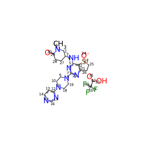 CN1C[C@@H](Nc2nc(N3CCN(c4ccncn4)CC3)nc3c2[S+]([O-])CC3)CCC1=O.O=C(O)C(F)(F)F